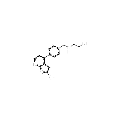 NCCNCc1ccc(-c2ccnc3[nH]c(C(F)(F)F)cc23)cc1